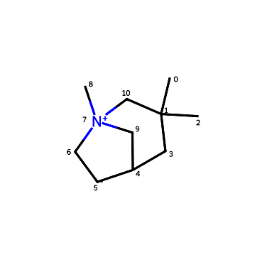 CC1(C)CC2[CH]C[N+](C)(C2)C1